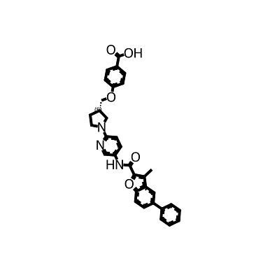 Cc1c(C(=O)Nc2ccc(N3CC[C@H](COc4ccc(C(=O)O)cc4)C3)nc2)oc2ccc(-c3ccccc3)cc12